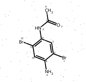 CC(=O)Nc1cc(Br)c(N)cc1Br